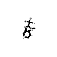 CCC(F)(F)c1nc2cnccc2n1C